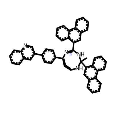 CC1(c2cc3ccccc3c3ccccc23)NC=C=C(c2ccc(-c3cnc4ccccc4c3)cc2)/N=C(/c2cc3ccccc3c3ccccc23)N1